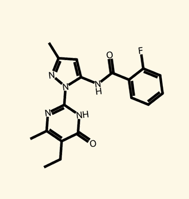 CCc1c(C)nc(-n2nc(C)cc2NC(=O)c2ccccc2F)[nH]c1=O